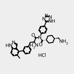 Cc1ccc2[nH]ncc2c1-c1cccc(C[C@H](N)C(=O)N(c2ccc(-c3nnn[nH]3)cc2)C(=O)[C@H]2CC[C@H](CN)CC2)c1.Cl